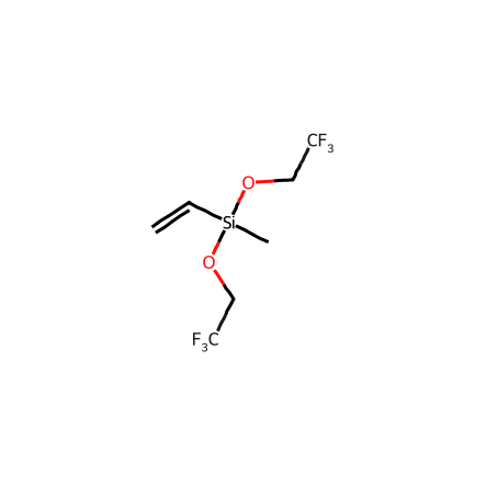 C=C[Si](C)(OCC(F)(F)F)OCC(F)(F)F